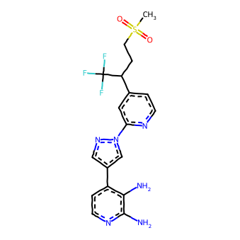 CS(=O)(=O)CCC(c1ccnc(-n2cc(-c3ccnc(N)c3N)cn2)c1)C(F)(F)F